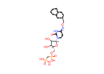 O=c1[nH]/c(=N\OCc2ccc3ccccc3c2)ccn1[C@@H]1O[C@H](COP(=O)(O)CP(=O)(O)O)C(O)C1O